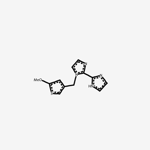 COc1cc(Cn2ccnc2-c2ncc[nH]2)cs1